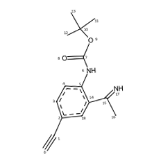 C#Cc1ccc(NC(=O)OC(C)(C)C)c(C(C)=N)c1